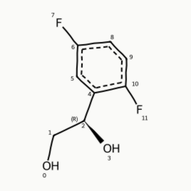 OC[C@H](O)c1cc(F)ccc1F